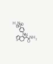 NC(=O)c1nn(-c2ccc(S(N)(=O)=O)cc2)c2c1CCc1sccc1-2